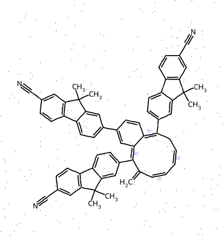 C=C1/C=C\C=C/C/C(c2ccc3c(c2)C(C)(C)c2cc(C#N)ccc2-3)=c2/ccc(-c3ccc4c(c3)C(C)(C)c3cc(C#N)ccc3-4)c/c2=C/1c1ccc2c(c1)C(C)(C)c1cc(C#N)ccc1-2